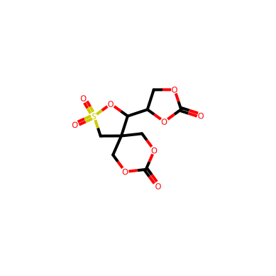 O=C1OCC2(CO1)CS(=O)(=O)OC2C1COC(=O)O1